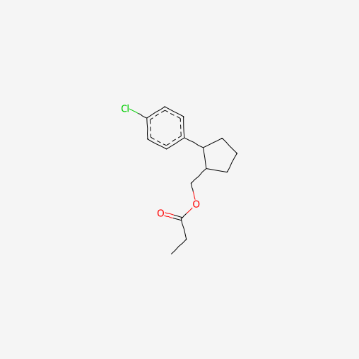 CCC(=O)OCC1CCCC1c1ccc(Cl)cc1